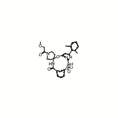 COCC(=O)N1CCC2(CC1)NC(=O)c1cccc(c1)S(=O)(=O)Nc1nc(cc(-c3c(C)cccc3C)n1)O2